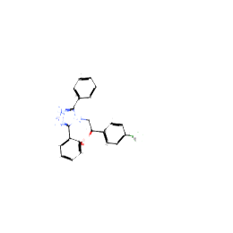 O=C(Cn1c(-c2ccccc2)nnc1-c1ccccc1)c1ccc(Cl)cc1